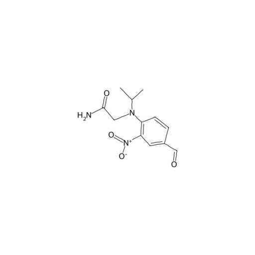 CC(C)N(CC(N)=O)c1ccc(C=O)cc1[N+](=O)[O-]